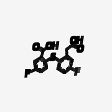 O=C(O)Cc1cc(F)ccc1Sc1ccc(F)cc1C(=O)O